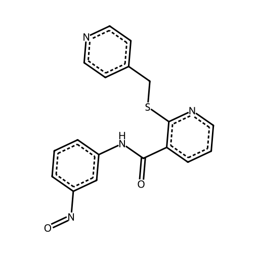 O=Nc1cccc(NC(=O)c2cccnc2SCc2ccncc2)c1